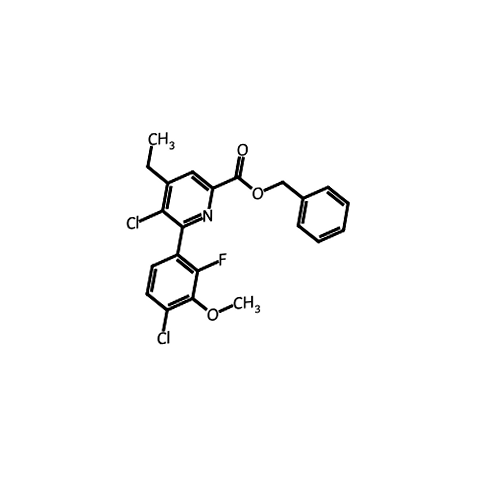 CCc1cc(C(=O)OCc2ccccc2)nc(-c2ccc(Cl)c(OC)c2F)c1Cl